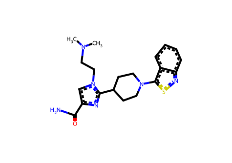 CN(C)CCn1cc(C(N)=O)nc1C1CCN(c2snc3ccccc23)CC1